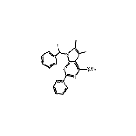 CNc1nc(-c2ccccc2)nc2c1c(C)c(C)n2C(C)c1ccccc1